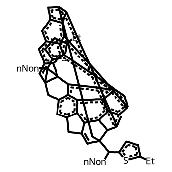 CCCCCCCCCC(c1ccc(CC)s1)C12C=C3Cc4cc5c6c7c8c9c%10c(c3c4c69)C1c1c3c(cc4cc6cc9c(c%11c6c(c43)c(c1%10)c%118)C71C(C=9)(C5)C1(CCCCCCCCC)c1ccc(CC)s1)C2